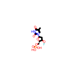 Cc1cn([C@H]2CC(OF)[C@@H](COP(=O)(O)O)O2)c(=O)[nH]c1=O